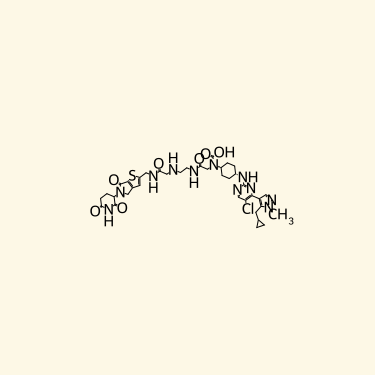 Cn1ncc(-c2nc(N[C@H]3CC[C@H](N(CC(=O)NCCNCC(=O)NCc4cc5c(s4)C(=O)N(C4CCC(=O)NC4=O)C5)C(=O)O)CC3)ncc2Cl)c1CC1CC1